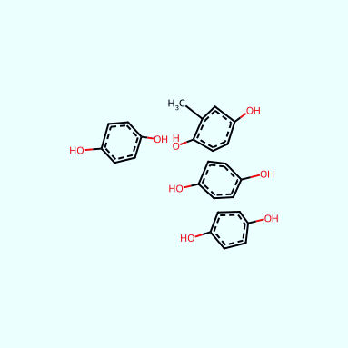 Cc1cc(O)ccc1O.Oc1ccc(O)cc1.Oc1ccc(O)cc1.Oc1ccc(O)cc1